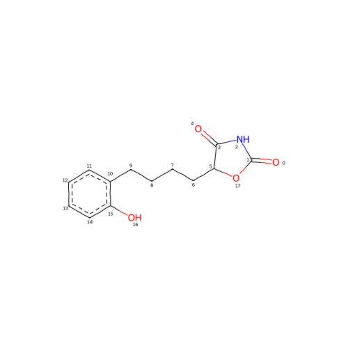 O=C1NC(=O)C(CCCCc2ccccc2O)O1